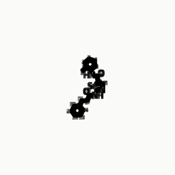 Cc1ccccc1NC(=O)c1cnc(NC(=O)CCc2ccccc2)[se]1